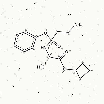 C[C@H](NP(=O)(CCN)Oc1ccccc1)C(=O)OC1CCC1